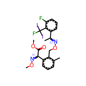 CO/N=C(/C(=O)OC)c1cccc(C)c1CO/N=C(\C)c1cccc(F)c1C(F)(I)I